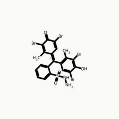 CC1=C(Br)C(=O)C(Br)=C/C1=C(/c1ccccc1S(=O)(=O)NN)c1cc(Br)c(O)c(Br)c1C